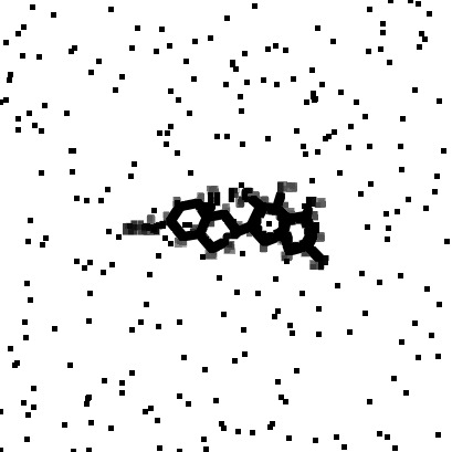 CCCCCC[C@@H]1CC[C@@H]2CC(c3cc4cc(F)cc(F)c4c(F)c3C(F)(F)F)CCC2C1